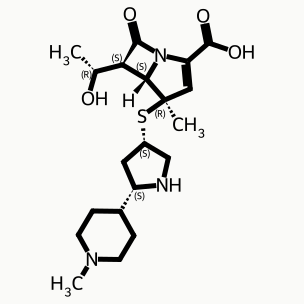 C[C@@H](O)[C@H]1C(=O)N2C(C(=O)O)=C[C@@](C)(S[C@@H]3CN[C@H](C4CCN(C)CC4)C3)[C@H]12